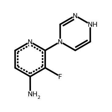 Nc1ccnc(N2C=CNN=C2)c1F